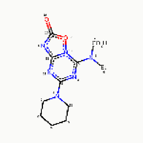 CCN(C(=O)O)c1nc(N2CCCCC2)nc2nc(=O)on12